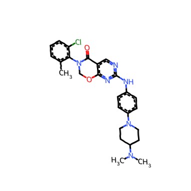 Cc1cccc(Cl)c1N1COc2nc(Nc3ccc(N4CCC(N(C)C)CC4)cc3)ncc2C1=O